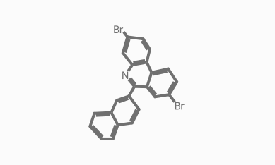 Brc1ccc2c(c1)nc(-c1ccc3ccccc3c1)c1cc(Br)ccc12